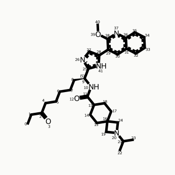 CCC(=O)CCCCC[C@H](NC(=O)C1CCC2(CC1)CN(C(C)C)C2)c1ncc(-c2cc3ccccc3nc2OC)[nH]1